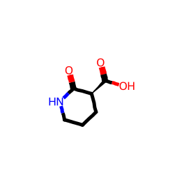 O=C(O)[C@H]1CCCNC1=O